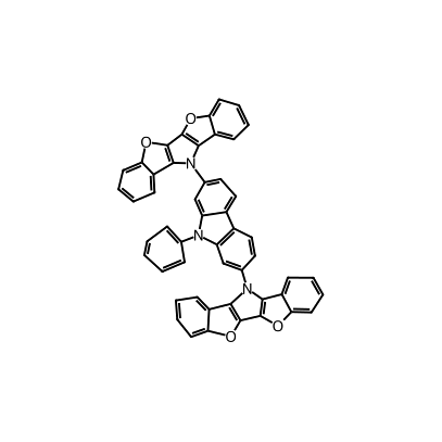 c1ccc(-n2c3cc(-n4c5c6ccccc6oc5c5oc6ccccc6c54)ccc3c3ccc(-n4c5c6ccccc6oc5c5oc6ccccc6c54)cc32)cc1